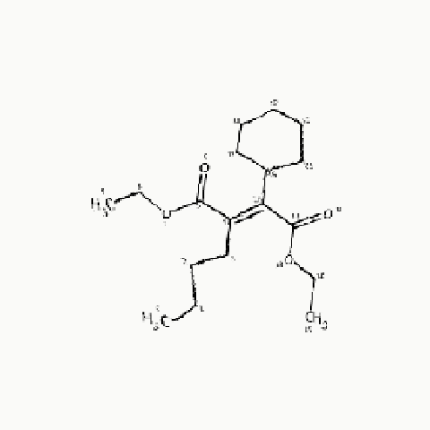 CCCCC(C(=O)OCC)=C(C(=O)OCC)C1CCCCC1